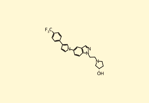 O[C@H]1CCN(CCn2ncc3cc(-n4ccc(-c5ccc(C(F)(F)F)cc5)c4)ccc32)C1